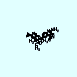 CC(=O)N(C)N(Cc1ccc(C2CC2)nc1)C(=O)c1ccc2nc(N)c3cnn(C)c3c2c1